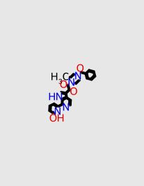 CC1CN(C(=O)c2ccccc2)CCN1C(=O)C(=O)c1c[nH]c2c(-c3cccc(O)n3)nccc12